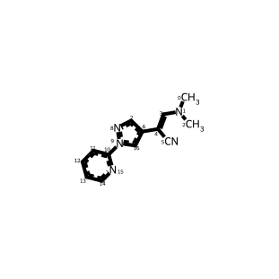 CN(C)C=C(C#N)c1cnn(-c2ccccn2)c1